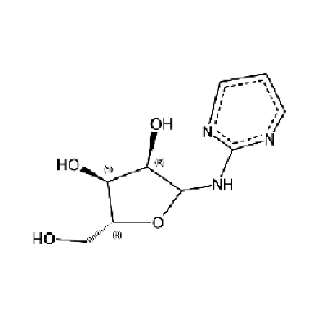 OC[C@H]1OC(Nc2ncccn2)[C@H](O)[C@@H]1O